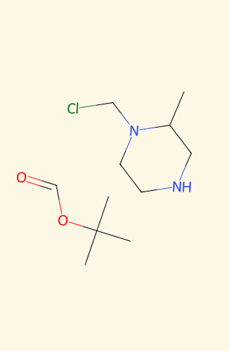 CC(C)(C)OC=O.CC1CNCCN1CCl